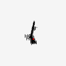 CCCCCCC[S+]([O-])CCCCCCCC[C@](C)(O)C(=O)Nc1ccc(C#N)c(C(F)(F)F)c1